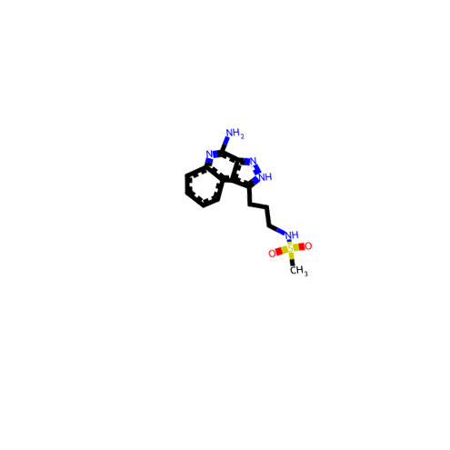 CS(=O)(=O)NCCCc1[nH]nc2c(N)nc3ccccc3c12